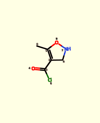 CC1=C(C(=O)Cl)CNO1